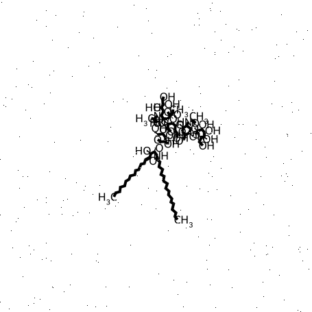 CCCCCCCCCCCCC/C=C/[C@@H](O)[C@H](CO[C@@H]1O[C@@H](CO)[C@@H](O[C@@H]2OC(CO)[C@H](O[C@@H]3OC(CO)[C@H](O)[C@H](O[C@@H]4OC(CO)[C@H](O)C(O)[C@@H]4O)C3NC(C)=O)C(O[C@]3(C(C)=O)C[C@@H](O)[C@@H](NC(C)=O)C([C@H](O)C(O)CO)O3)[C@@H]2O)C(O)C1O)NC(=O)CCCCCCCCCCCCCCCCC